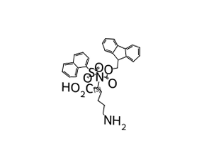 NCCCC[C@@H](C(=O)O)N(C(=O)OCC1c2ccccc2-c2ccccc21)S(=O)(=O)c1cccc2ccccc12